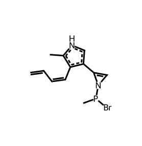 C=C/C=C\c1c(C2=CN2P(C)Br)c[nH]c1C